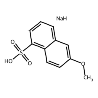 COc1ccc2c(S(=O)(=O)O)[c]ccc2c1.[NaH]